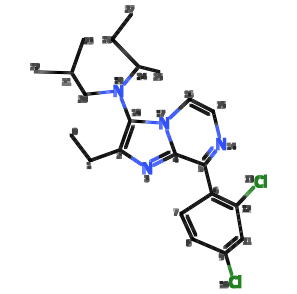 CCc1nc2c(-c3ccc(Cl)cc3Cl)nccn2c1N(CC(C)C)C(C)CC